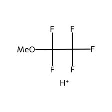 [CH2]OC(F)(F)C(F)(F)F.[H+]